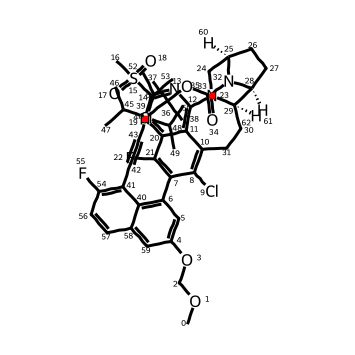 COCOc1cc(-c2c(Cl)c3c4c(nc(S(C)(=O)=O)nc4c2F)N2C[C@H]4CC[C@@H]([C@H]2CC3)N4C(=O)OC(C)(C)C)c2c(C#C[Si](C(C)C)(C(C)C)C(C)C)c(F)ccc2c1